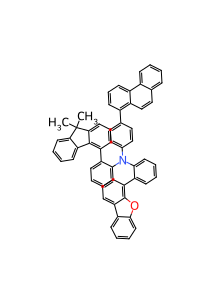 CC1(C)c2ccccc2-c2c(-c3ccccc3N(c3ccc(-c4cccc5c4ccc4ccccc45)cc3)c3ccccc3-c3cccc4c3oc3ccccc34)cccc21